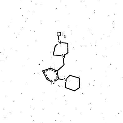 CN1CCN(Cc2[c]ccnc2N2CCCCC2)CC1